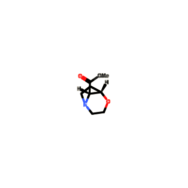 COC(=O)[C@@H]1[C@@H]2CCN1CCO2